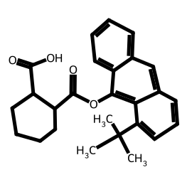 CC(C)(C)c1cccc2cc3ccccc3c(OC(=O)C3CCCCC3C(=O)O)c12